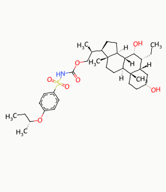 CC[C@H]1[C@@H](O)[C@@H]2[C@H](CC[C@]3(C)[C@@H]([C@H](C)COC(=O)NS(=O)(=O)c4ccc(O[C@H](C)CC)cc4)CC[C@@H]23)[C@@]2(C)CC[C@@H](O)C[C@@H]12